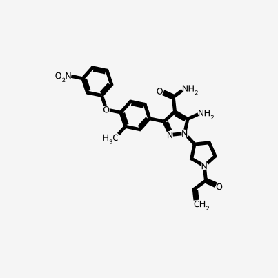 C=CC(=O)N1CCC(n2nc(-c3ccc(Oc4cccc([N+](=O)[O-])c4)c(C)c3)c(C(N)=O)c2N)C1